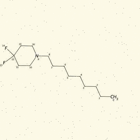 CCCCCCCCCN1CCC(F)(F)CC1